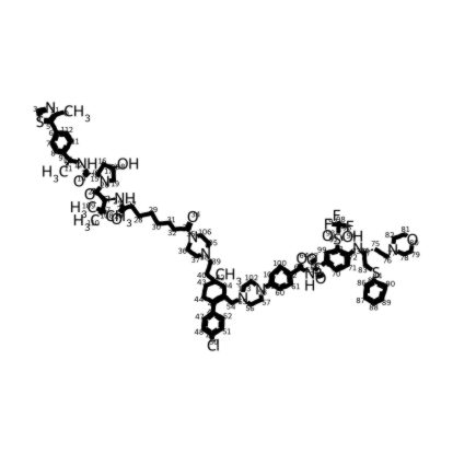 Cc1ncsc1-c1ccc([C@H](C)NC(=O)[C@@H]2C[C@@H](O)CN2C(=O)[C@@H](NC(=O)CCCCCCC(=O)N2CCN(CCC3(C)CCC(c4ccc(Cl)cc4)=C(CN4CCN(c5ccc(C(=O)NS(=O)(=O)c6ccc(N[C@H](CCN7CCOCC7)CSc7ccccc7)c(S(=O)(=O)C(F)(F)F)c6)cc5)CC4)C3)CC2)C(C)(C)C)cc1